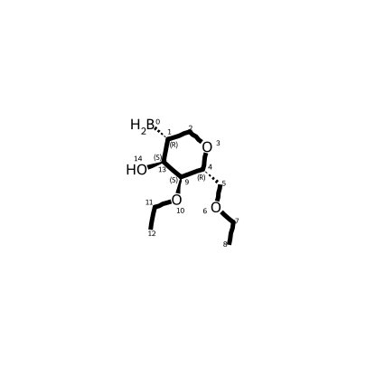 B[C@@H]1CO[C@H](COCC)[C@@H](OCC)[C@H]1O